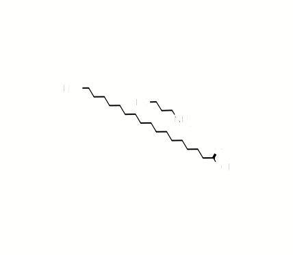 CCCCCCCCCCCCCCCCCC(=O)O.CCCCN